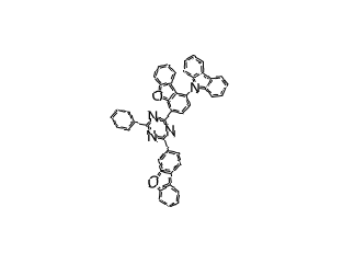 c1ccc(-c2nc(-c3ccc4c(c3)oc3ccccc34)nc(-c3ccc(-n4c5ccccc5c5ccccc54)c4c3oc3ccccc34)n2)cc1